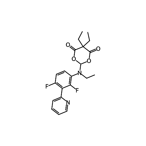 CCN(c1ccc(F)c(-c2ccccn2)c1F)C1OC(=O)C(CC)(CC)C(=O)O1